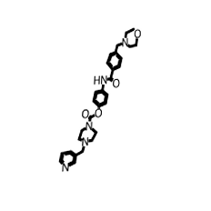 O=C(Nc1ccc(OC(=O)N2CCN(Cc3cccnc3)CC2)cc1)c1ccc(CN2CCOCC2)cc1